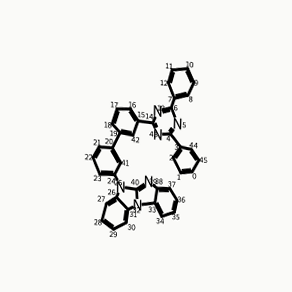 c1ccc(-c2nc(-c3ccccc3)nc(-c3cccc(-c4cccc(-n5c6ccccc6n6c7ccccc7nc56)c4)c3)n2)cc1